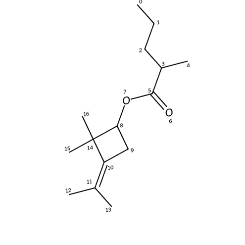 CCCC(C)C(=O)OC1CC(=C(C)C)C1(C)C